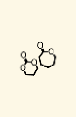 O=C1CCCCCO1.O=C1OCCCO1